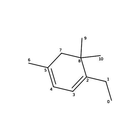 CCC1=CC=C(C)CC1(C)C